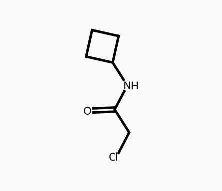 O=C(CCl)NC1CCC1